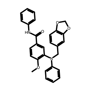 COc1ccc(C(=O)Nc2ccccc2)cc1N(Cc1ccc2c(c1)OCO2)c1ccccc1